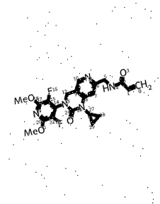 C=CC(=O)NCc1cc2c(cn1)CN(c1c(F)c(OC)nc(OC)c1F)C(=O)N2C1CC1